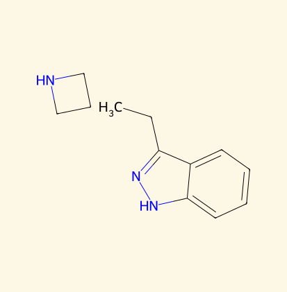 C1CNC1.CCc1n[nH]c2ccccc12